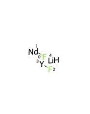 [F][Nd].[F][Y].[LiH]